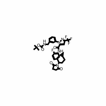 CC(C)(C)OC(=O)NCc1cccc(-n2nc(C(F)(F)F)cc2C(=O)Nc2cc(C(CCC3CC3)N3C(=O)CCC3=O)ccc2F)c1